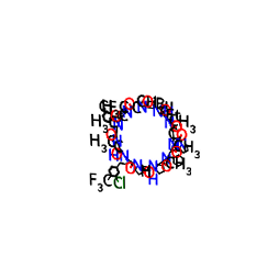 CC[C@H](C)[C@@H]1NC(=O)[C@H](CC)N(C)C(=O)C[C@@H](C(=O)N2CCCC2)N(C)C(=O)[C@H](C2CCCCC2)N(C)C(=O)C2(CCCC2)NC(=O)[C@@H]2CCCN2C(=O)[C@H](CCc2ccc(C(F)(F)F)c(Cl)c2)NC(=O)CN(C)C(=O)[C@H](Cc2ccc(C(F)(F)F)cc2)N(C)C(=O)CN(C)C(=O)CN(C)C1=O